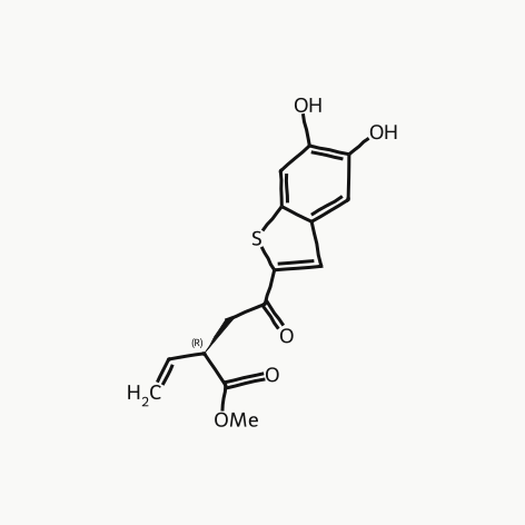 C=C[C@@H](CC(=O)c1cc2cc(O)c(O)cc2s1)C(=O)OC